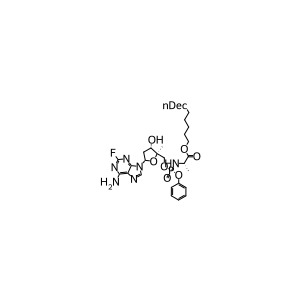 CCCCCCCCCCCCCCCOC(=O)[C@H](C)NP(=O)(OC[C@@]1(C)O[C@@H](n2cnc3c(N)nc(F)nc32)C[C@@H]1O)Oc1ccccc1